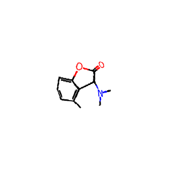 Cc1cccc2c1C(N(C)C)C(=O)O2